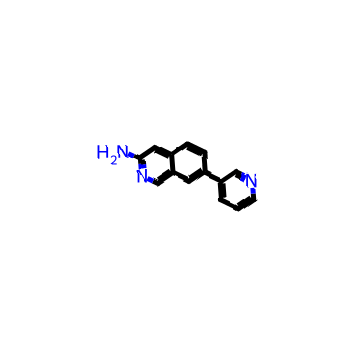 Nc1cc2ccc(-c3cccnc3)cc2cn1